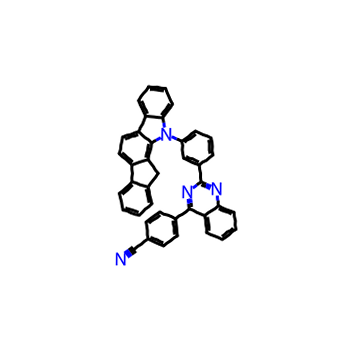 N#Cc1ccc(-c2nc(-c3cccc(-n4c5ccccc5c5ccc6c(c54)Cc4ccccc4-6)c3)nc3ccccc23)cc1